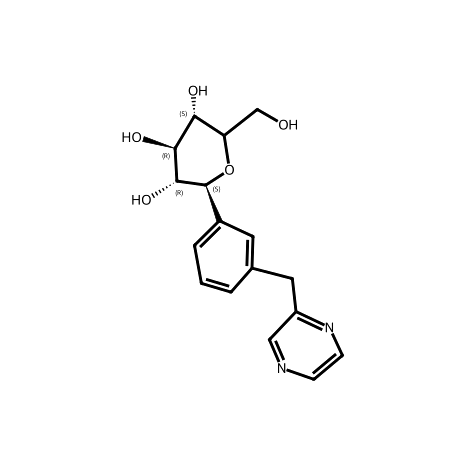 OCC1O[C@@H](c2cccc(Cc3cnccn3)c2)[C@H](O)[C@@H](O)[C@@H]1O